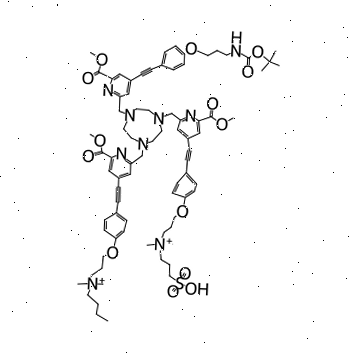 CCCC[N+](C)(C)CCCOc1ccc(C#Cc2cc(CN3CCN(Cc4cc(C#Cc5ccc(OCCCNC(=O)OC(C)(C)C)cc5)cc(C(=O)OC)n4)CCN(Cc4cc(C#Cc5ccc(OCCC[N+](C)(C)CCCS(=O)(=O)O)cc5)cc(C(=O)OC)n4)CC3)nc(C(=O)OC)c2)cc1